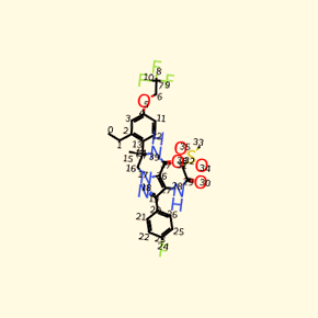 CCc1cc(OCC(F)(F)F)ccc1[C@@]1(C)Cn2nc(-c3ccc(F)cc3)c(NC(=O)CS(C)(=O)=O)c2C(=O)N1